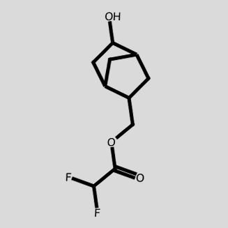 O=C(OCC1CC2CC1CC2O)C(F)F